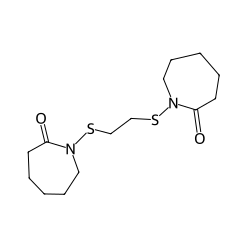 O=C1CCCCCN1SCCSN1CCCCCC1=O